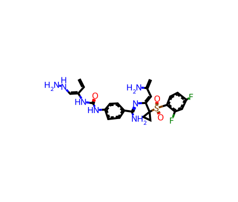 C=C/C(=C\NN)NC(=O)Nc1ccc(/C(N)=N/C(=C\C(=C)N)C2(S(=O)(=O)c3ccc(F)cc3F)CC2)cc1